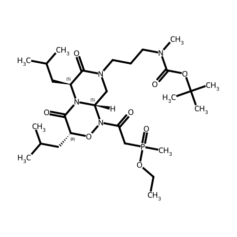 CCOP(C)(=O)CC(=O)N1O[C@H](CC(C)C)C(=O)N2[C@@H]1CN(CCCN(C)C(=O)OC(C)(C)C)C(=O)[C@@H]2CC(C)C